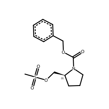 CS(=O)(=O)OC[C@@H]1CCCN1C(=O)OCc1ccccc1